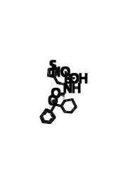 O=C(c1ccccc1)C1CCCC[C@H]1C(=O)N[C@@H](Cc1ccsc1)B(O)O